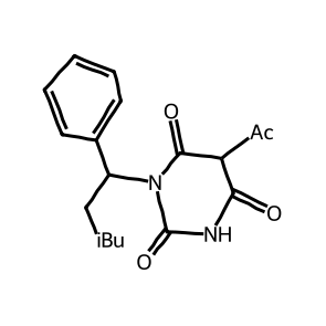 CCC(C)CC(c1ccccc1)N1C(=O)NC(=O)C(C(C)=O)C1=O